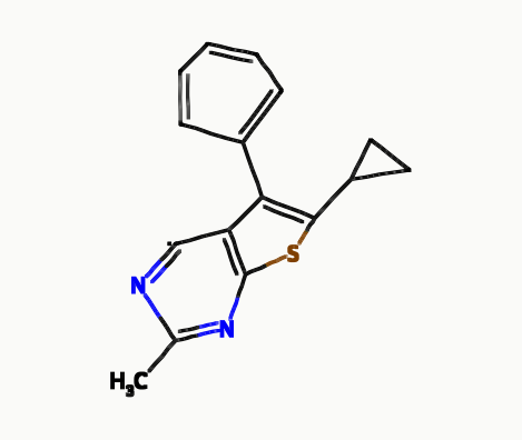 Cc1n[c]c2c(-c3ccccc3)c(C3CC3)sc2n1